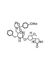 COc1ccc(S(=O)(=O)N(CC(C)C)C[C@@H](O)[C@H](Cc2ccccc2)NC(=O)O[C@H]2C[C@H]3OC[C@@]4(CNC(=O)O4)[C@H]3C2)cc1